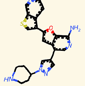 Nc1ncc(-c2cnn(C3CCNCC3)c2)c2cc(-c3csc4cnccc34)oc12